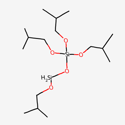 CC(C)CO[SiH2]O[Si](OCC(C)C)(OCC(C)C)OCC(C)C